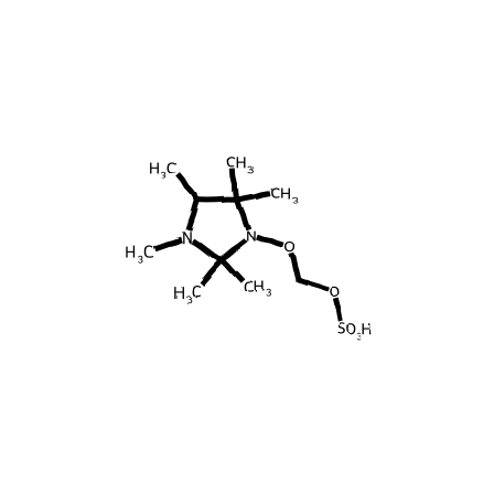 CC1N(C)C(C)(C)N(OCOS(=O)(=O)O)C1(C)C